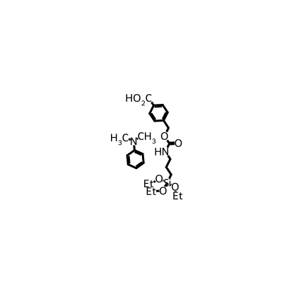 CCO[Si](CCCNC(=O)OCc1ccc(C(=O)O)cc1)(OCC)OCC.CN(C)c1ccccc1